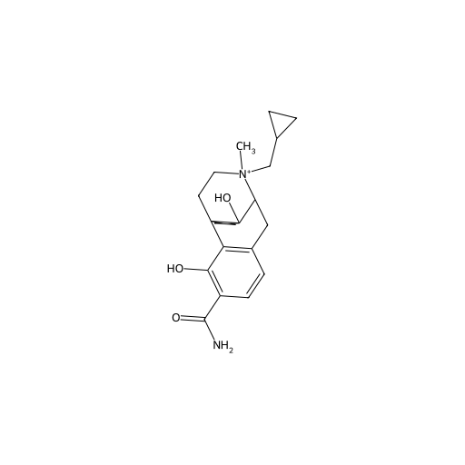 C[N+]1(CC2CC2)CCC23CCCCC2(O)C1Cc1ccc(C(N)=O)c(O)c13